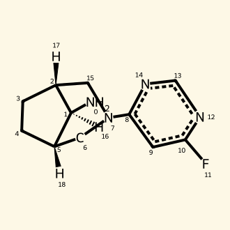 N[C@@H]1[C@@H]2CC[C@H]1CN(c1cc(F)ncn1)C2